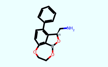 NC[C@H]1OB2OCCOc3ccc(-c4ccccc4)c1c32